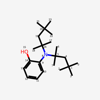 CC(C)(C)CC(C)(C)N(c1ccccc1O)C(C)(C)CC(C)(C)C